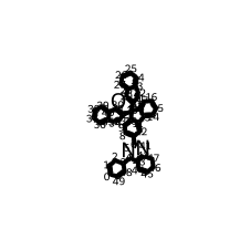 C1=CCC(c2nc(-c3ccc4c(c3)-c3ccccc3C43c4ccc5ccccc5c4Oc4c3ccc3ccccc43)nc3c2C=CCC3)C=C1